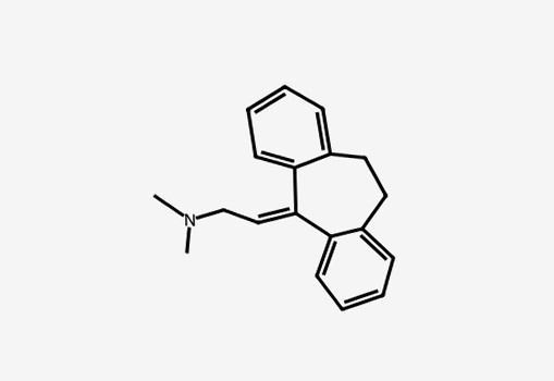 CN(C)CC=C1c2ccccc2CCc2ccccc21